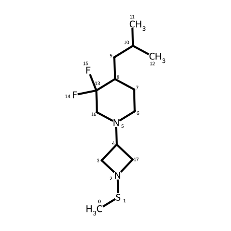 CSN1CC(N2CCC(CC(C)C)C(F)(F)C2)C1